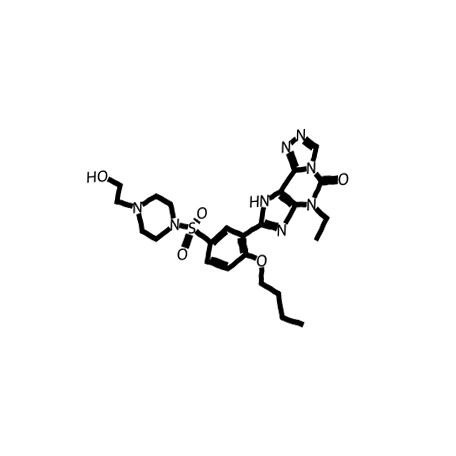 CCCCOc1ccc(S(=O)(=O)N2CCN(CCO)CC2)cc1-c1nc2c([nH]1)c1nncn1c(=O)n2CC